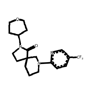 O=C1N(C2CCOCC2)CCC12CCCN(c1ccc(C(F)(F)F)cn1)C2